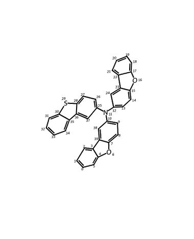 c1ccc2c(c1)oc1ccc(N(c3ccc4oc5ccccc5c4c3)c3ccc4sc5ccccc5c4c3)cc12